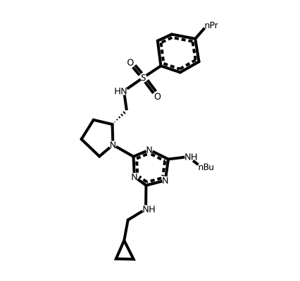 CCCCNc1nc(NCC2CC2)nc(N2CCC[C@@H]2CNS(=O)(=O)c2ccc(CCC)cc2)n1